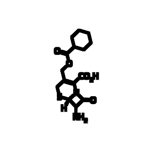 NC1C(=O)N2C(C(=O)O)=C(COC(=O)C3CCCCC3)CS[C@@H]12